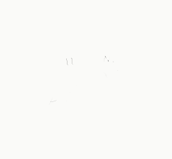 COCC(C)c1cscn1